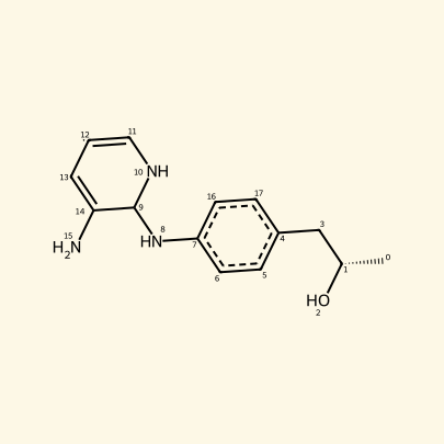 C[C@H](O)Cc1ccc(NC2NC=[C]C=C2N)cc1